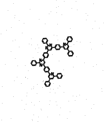 c1ccc(-c2cc(-c3ccccc3)nc(-c3ccc(-c4cc(-c5ccc(-c6cc(-c7ccc(-c8cc(-c9ccccc9)cc(-c9ccccc9)n8)cc7)nc(-c7ccccc7)n6)cc5)nc(-c5ccccc5)n4)cc3)c2)cc1